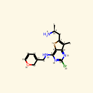 Cc1c(C[C@H](C)N)sc2c(NCC3=CC=COC3)nc(Br)nc12